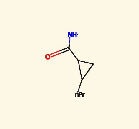 CCCC1CC1C([NH])=O